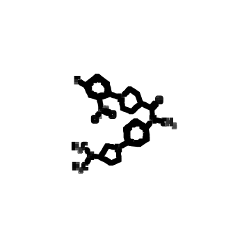 CN(C(=O)C1CCN(c2ccc(F)cc2[N+](=O)[O-])CC1)c1ccc(N2CCC(N(C)C)C2)cc1